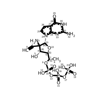 C#CC1(N)[C@@H](O)[C@@H]([C@H](C)OP(=O)(O)OP(=O)(O)OP(=O)(O)O)O[C@H]1n1ccc2c(=O)[nH]c(N)nc21